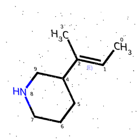 C/C=C(\C)C1CCCNC1